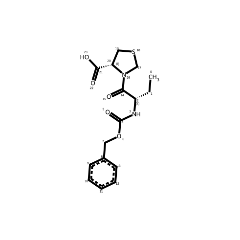 CC[C@H](NC(=O)OCc1ccccc1)C(=O)N1CSC[C@H]1C(=O)O